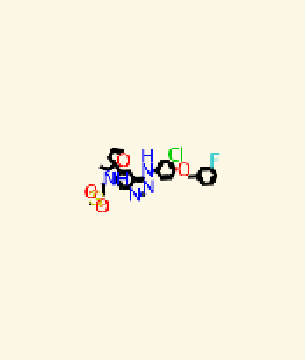 CC(NCCS(C)(=O)=O)C1(c2ccc3ncnc(Nc4ccc(OCc5cccc(F)c5)c(Cl)c4)c3c2)CC=CO1